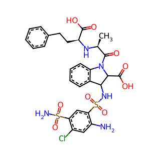 C[C@H](N[C@@H](CCc1ccccc1)C(=O)O)C(=O)N1c2ccccc2C(NS(=O)(=O)c2cc(S(N)(=O)=O)c(Cl)cc2N)C1C(=O)O